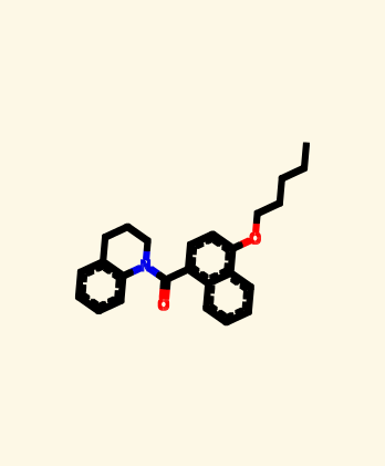 CCCCCOc1ccc(C(=O)N2CCCc3ccccc32)c2ccccc12